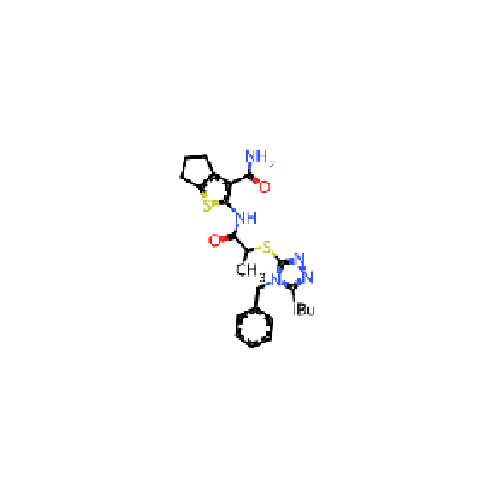 CCC(C)c1nnc(SC(C)C(=O)Nc2sc3c(c2C(N)=O)CCC3)n1Cc1ccccc1